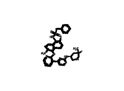 Cc1ccc2c(NS(=O)(=O)Cc3ccccc3)c(F)ccc2c1Oc1ncccc1-c1ccnc(N[C@@H]2CNC[C@@](C)(F)C2)n1